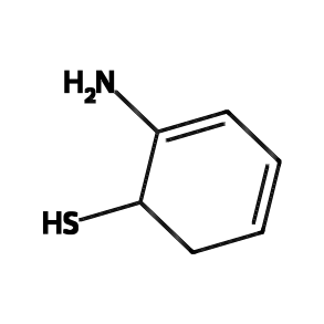 NC1=CC=CCC1S